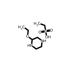 CCOC1CNCCN1.CCS(=O)(=O)O